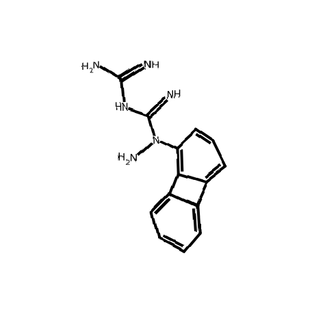 N=C(N)NC(=N)N(N)c1cccc2c1-c1ccccc1-2